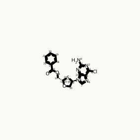 Nc1nc(Cl)c2ncn([C@H]3CO[C@H](COC(=O)c4ccccc4)S3)c2n1